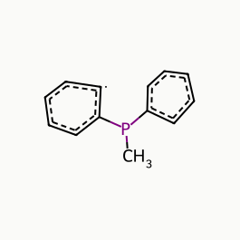 CP(c1[c]cccc1)c1ccccc1